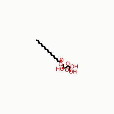 CCCCCCCCCCCCCCCC(=O)OCC(O)[C@H]1OC(O)=C(O)C1=O